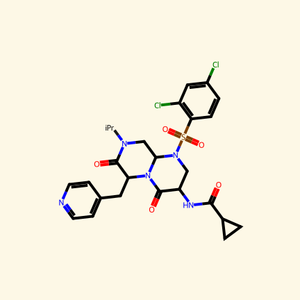 CC(C)N1CC2N(C(=O)C(NC(=O)C3CC3)CN2S(=O)(=O)c2ccc(Cl)cc2Cl)C(Cc2ccncc2)C1=O